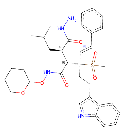 CC(C)C[C@@H](C(=O)NN)[C@@H](C(=O)NOC1CCCCO1)C(/C=C/c1ccccc1)(CCc1c[nH]c2ccccc12)S(C)(=O)=O